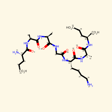 C[C@H](NC(=O)[C@H](C)NC(=O)[C@@H](N)CCC(=O)O)C(=O)NCC(=O)N[C@@H](CCCCN)C(=O)N[C@@H](C)C(=O)N[C@@H](CCC(=O)O)C(=O)O